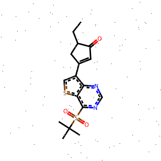 CCC1CC(c2csc3c(S(=O)(=O)C(C)(C)C)ncnc23)=CC1=O